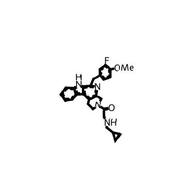 COc1ccc(Cc2nc3c(c4c2[nH]c2ccccc24)CCN(C(=O)CNCC2CC2)C3)cc1F